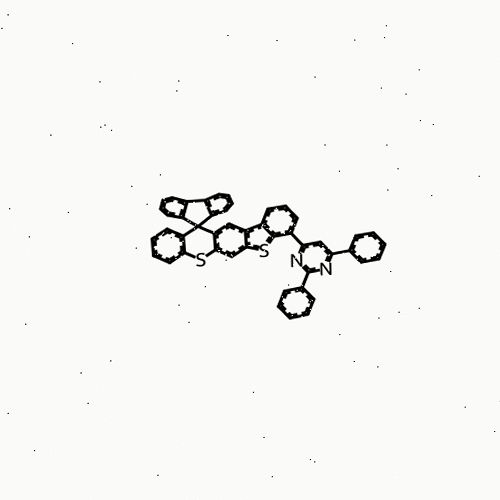 c1ccc(-c2cc(-c3cccc4c3sc3cc5c(cc34)C3(c4ccccc4S5)c4ccccc4-c4ccccc43)nc(-c3ccccc3)n2)cc1